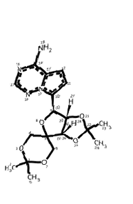 CC1(C)OCC2(CO1)O[C@@H](c1ccc3c(N)ncnn13)[C@@H]1OC(C)(C)O[C@@H]12